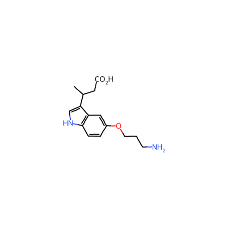 CC(CC(=O)O)c1c[nH]c2ccc(OCCCN)cc12